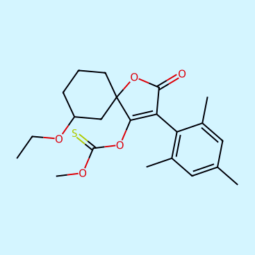 CCOC1CCCC2(C1)OC(=O)C(c1c(C)cc(C)cc1C)=C2OC(=S)OC